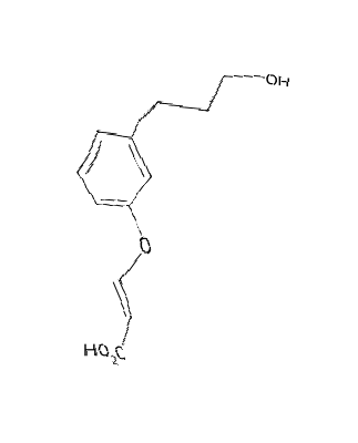 O=C(O)C=COc1cccc(CCCO)c1